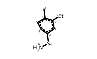 CCc1cc(SN)ccc1C